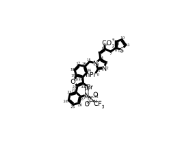 CCCc1ncc(C=C(Cc2cccs2)C(=O)O)n1Cc1ccc2oc(-c3ccccc3NS(=O)(=O)C(F)(F)F)c(Br)c2c1